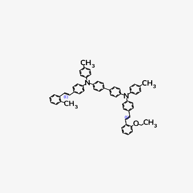 CCOc1ccccc1/C=C/c1ccc(N(c2ccc(C)cc2)c2ccc(-c3ccc(N(c4ccc(C)cc4)c4ccc(/C=C/c5ccccc5C)cc4)cc3)cc2)cc1